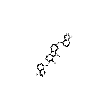 Cn1c2nc(Cc3cccc4[nH]ncc34)ccc2c2cnn(Cc3cccc4[nH]ncc34)c(=O)c21